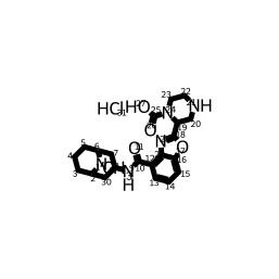 CN1C2CCCC1CC(NC(=O)c1cccc3oc(C4CNCCN4C(=O)O)nc13)C2.Cl